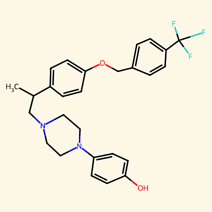 CC(CN1CCN(c2ccc(O)cc2)CC1)c1ccc(OCc2ccc(C(F)(F)F)cc2)cc1